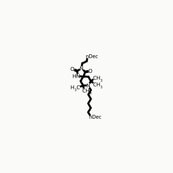 CCCCCCCCCCCCCCCCN1C(C)(C)CC2(CC1(C)C)NC(=O)N(CCCCCCCCCCCC)C2=O